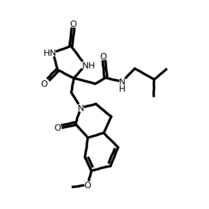 COC1=CC2C(=O)N(CC3(CC(=O)NCC(C)C)NC(=O)NC3=O)CCC2C=C1